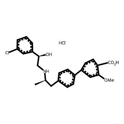 COc1cc(-c2ccc(C[C@@H](C)NC[C@H](O)c3cccc(Cl)c3)cc2)ccc1C(=O)O.Cl